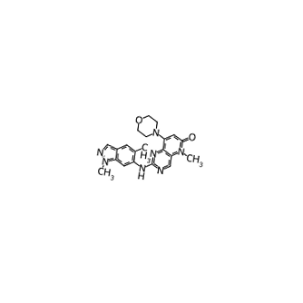 Cc1cc2cnn(C)c2cc1Nc1ncc2c(n1)c(N1CCOCC1)cc(=O)n2C